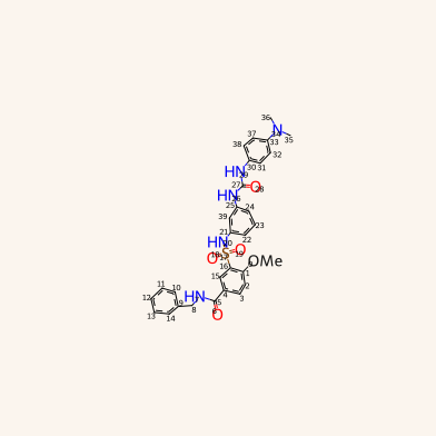 COc1ccc(C(=O)NCc2ccccc2)cc1S(=O)(=O)Nc1cccc(NC(=O)Nc2ccc(N(C)C)cc2)c1